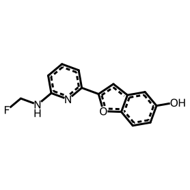 Oc1ccc2oc(-c3cccc(NCF)n3)cc2c1